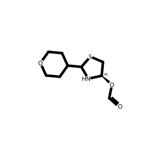 O=CO[C@@H]1CSC(C2CCOCC2)N1